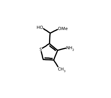 COC(O)c1scc(C)c1N